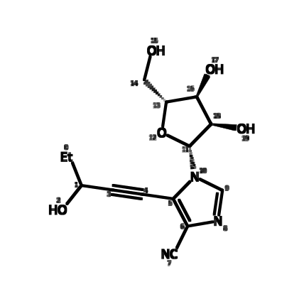 CCC(O)C#Cc1c(C#N)ncn1[C@@H]1O[C@H](CO)[C@@H](O)[C@H]1O